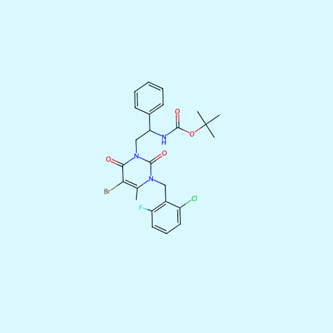 Cc1c(Br)c(=O)n(CC(NC(=O)OC(C)(C)C)c2ccccc2)c(=O)n1Cc1c(F)cccc1Cl